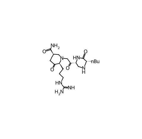 CCCC[C@@H]1NC[C@H](C(=O)CN2C[C@H](C(N)=O)CC(=O)[C@@H]2CCCNC(=N)N)NC1=O